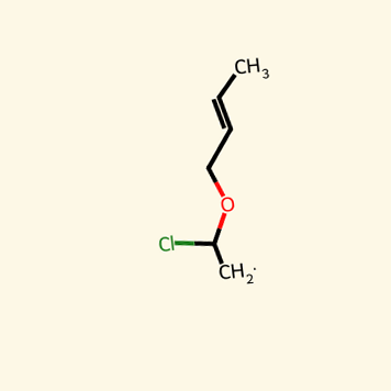 [CH2]C(Cl)OCC=CC